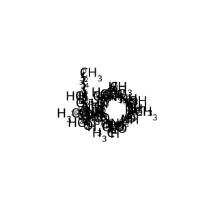 CCCCCCC[C@@H](O)CC(=O)N[C@@H](CC(C)C)C(=O)N[C@H](CCC(=O)O)C(=O)N[C@H]1C(=O)N[C@H]([C@H](C)CC)C(=O)N[C@H](CC(C)C)C(=O)N[C@H](CO)C(=O)N[C@@H](CC(C)C)C(=O)N[C@H](CO)C(=O)N[C@@H]([C@@H](C)CC)C(=O)O[C@H]1C